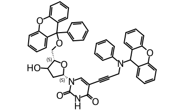 O=c1[nH]c(=O)n([C@@H]2CC(O)[C@H](COC3(c4ccccc4)c4ccccc4Oc4ccccc43)O2)cc1C#CCN(c1ccccc1)C1c2ccccc2Oc2ccccc21